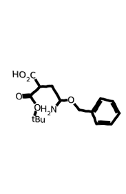 CC(C)(C)OC(=O)C(CC(N)OCc1ccccc1)C(=O)O